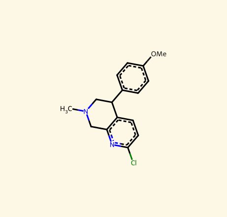 COc1ccc(C2CN(C)Cc3nc(Cl)ccc32)cc1